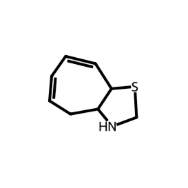 C1=CCC2NCSC2C=C1